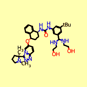 CN1CCC[C@@]1(C)c1nnc2ccc(O[C@@H]3CC[C@H](NC(=O)Nc4cc(C(NCCO)NCCO)cc(C(C)(C)C)c4)c4ccccc43)cn12